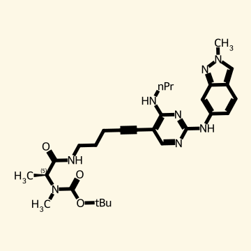 CCCNc1nc(Nc2ccc3cn(C)nc3c2)ncc1C#CCCCNC(=O)[C@H](C)N(C)C(=O)OC(C)(C)C